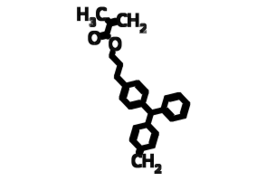 C=C1C=CC(C(c2ccccc2)c2ccc(CCCOC(=O)C(=C)C)cc2)C=C1